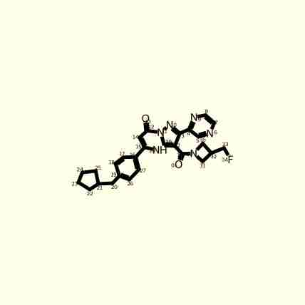 O=C(c1c(-c2cnccn2)nn2c(=O)cc(-c3ccc(CC4CCCC4)cc3)[nH]c12)N1CC(CF)C1